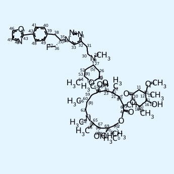 CC[C@H]1OC(=O)[C@H](C)[C@@H](O[C@H]2C[C@@](C)(OC)[C@@H](O)[C@H](C)O2)[C@H](C)[C@@H](O[C@H]2C[C@@H](N(C)CCc3cn([C@H](CF)Cc4ccc(-c5ncco5)cc4)nn3)C[C@@H](C)O2)[C@](C)(O)C[C@@H](C)CN(C)[C@H](C)[C@@H](O)[C@]1(C)O